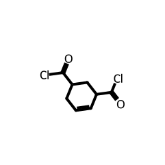 O=C(Cl)C1C=CCC(C(=O)Cl)C1